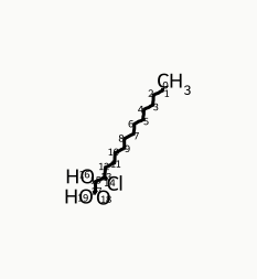 CCCCCCCCCCCCCC(Cl)[C@H](O)C(=O)O